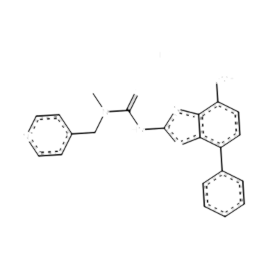 COc1ccc(-c2ccccc2)c2sc(NC(=O)N(C)Cc3ccncc3)nc12.Cl